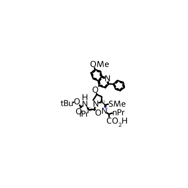 CCCC(/N=C(\SC)[C@@H]1CC(Oc2cc(-c3ccccc3)nc3cc(OC)ccc23)CN1C(=O)[C@@H](NC(=O)OC(C)(C)C)C(C)C)C(=O)O